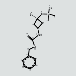 CC[C@]1(O[Si](C)(C)C(C)(C)C)C[C@@H](NC(=O)OCc2ccccc2)C1